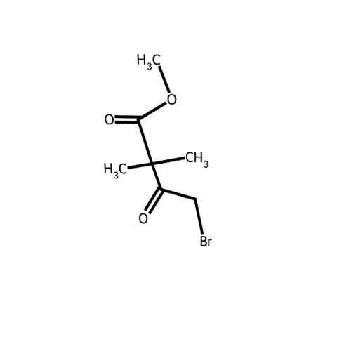 COC(=O)C(C)(C)C(=O)CBr